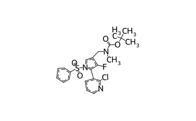 CN(Cc1cn(S(=O)(=O)c2ccccc2)c(-c2cccnc2Cl)c1F)C(=O)OC(C)(C)C